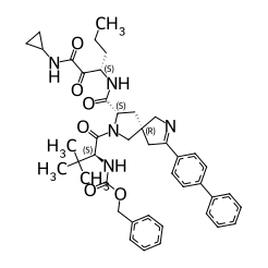 CCC[C@H](NC(=O)[C@@H]1C[C@@]2(CN=C(c3ccc(-c4ccccc4)cc3)C2)CN1C(=O)[C@@H](NC(=O)OCc1ccccc1)C(C)(C)C)C(=O)C(=O)NC1CC1